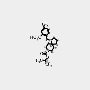 O=C(O)c1cc(C(F)(F)F)ccc1CN1CCCC12CCN(C(=O)OC(C(F)(F)F)C(F)(F)F)CC2